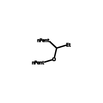 [CH2]CC(CCCCC)OCCCCC